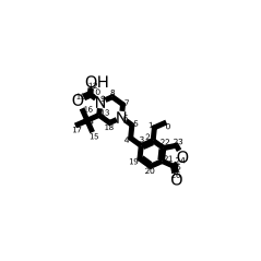 CCc1c(CCN2CCN(C(=O)O)C(C(C)(C)C)C2)ccc2c1COC2=O